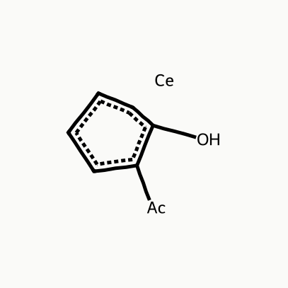 CC(=O)c1ccccc1O.[Ce]